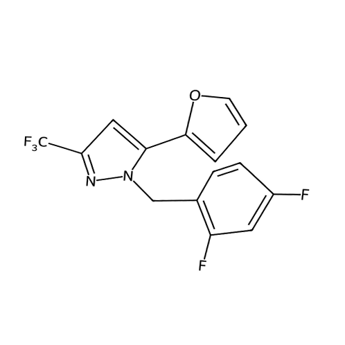 Fc1ccc(Cn2nc(C(F)(F)F)cc2-c2ccco2)c(F)c1